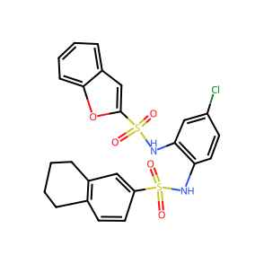 O=S(=O)(Nc1ccc(Cl)cc1NS(=O)(=O)c1cc2ccccc2o1)c1ccc2c(c1)CCCC2